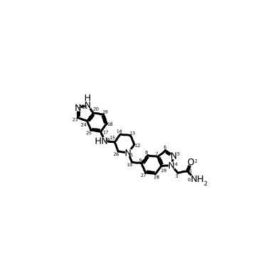 NC(=O)Cn1ncc2cc(CN3CCCC(Nc4ccc5[nH]ncc5c4)C3)ccc21